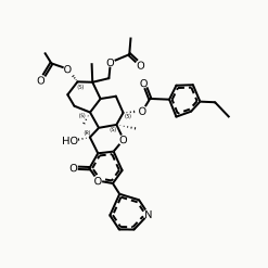 CCc1ccc(C(=O)O[C@H]2CC3C(C)(COC(C)=O)[C@@H](OC(C)=O)CC[C@]3(C)C3[C@@H](O)c4c(cc(-c5cccnc5)oc4=O)O[C@@]32C)cc1